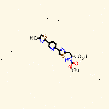 CC(C)(C)OC(=O)N[C@@H](Cc1nc(-c2ccc(-c3nc(C#N)cs3)cn2)cs1)C(=O)O